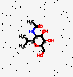 CC(=O)N[C@H]1C(O)[C@@H](O)C(CO)O[C@H]1C(C)C